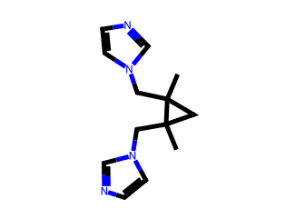 CC1(Cn2ccnc2)CC1(C)Cn1ccnc1